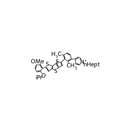 CCCCCCC[n+]1ccc(-c2ccc(C)c(-c3cc4sc5cc(-c6c(OC)cccc6OC(C)C)sc5c4s3)c2C)cc1